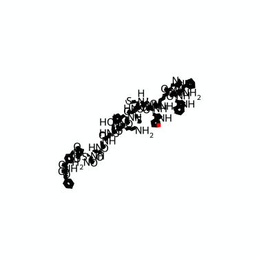 CSCC[C@@H](NC(=O)[C@@H](C)NC(=O)[C@@H](Cc1c[nH]c2ccccc12)NC(=O)[C@H](N)CCCCC(=O)[C@@H](Cc1c[nH]cn1)NC(=O)[C@@H](Cc1c[nH]c2ccccc12)NC(=O)[C@H](N)Cc1ccccc1)C(=O)N[C@H](CCSC)C(=O)N[C@H](Cc1ccc(O)cc1)C(=O)N[C@H](CCCCN)C(=O)NCC(=O)NCC(=O)NCC(=O)NC(C=O)CN[C@H](CSC1CC(=O)N(CC2CCC(C(=O)NC(=O)OCc3ccccc3)CC2)C1=O)C(N)=O